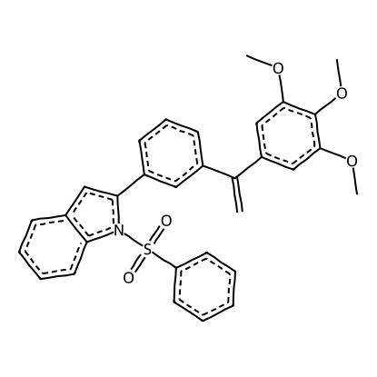 C=C(c1cccc(-c2cc3ccccc3n2S(=O)(=O)c2ccccc2)c1)c1cc(OC)c(OC)c(OC)c1